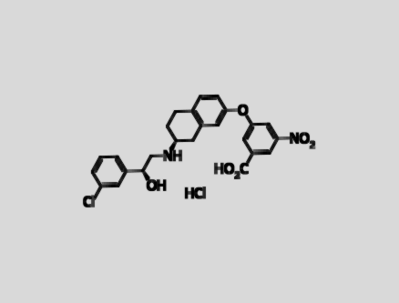 Cl.O=C(O)c1cc(Oc2ccc3c(c2)C[C@@H](NC[C@@H](O)c2cccc(Cl)c2)CC3)cc([N+](=O)[O-])c1